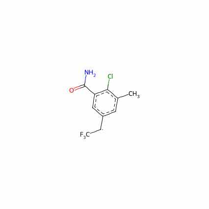 Cc1cc([CH]C(F)(F)F)cc(C(N)=O)c1Cl